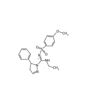 CCN/C(=N\S(=O)(=O)c1ccc(OC)cc1)N1N=CCC1c1ccccc1